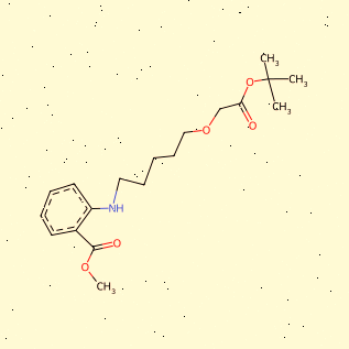 COC(=O)c1ccccc1NCCCCCOCC(=O)OC(C)(C)C